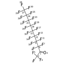 O=C(C(F)(F)F)C(F)(F)C(F)(F)C(F)(F)C(F)(F)C(F)(F)C(F)(F)C(F)(F)C(F)(F)F